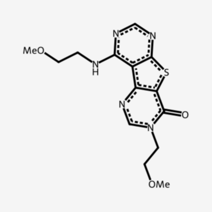 COCCNc1ncnc2sc3c(=O)n(CCOC)cnc3c12